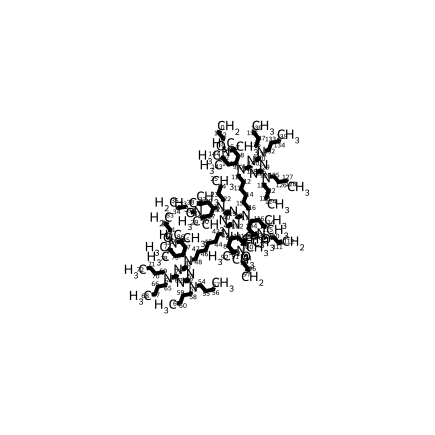 C=CCON1C(C)(C)CC(N(CCCCCCN(c2nc(N(CCCC)C3CC(C)(C)N(OCC=C)C(C)(C)C3)nc(N(CCCCCCN(c3nc(N(CCCC)CCCC)nc(N(CCCC)CCCC)n3)C3CC(C)(C)N(OCC=C)C(C)(C)C3)C3CC(C)(C)N(OCC=C)C(C)(C)C3)n2)C2CC(C)(C)N(OCC=C)C(C)(C)C2)c2nc(N(CCCC)CCCC)nc(N(CCCC)CCCC)n2)CC1(C)C